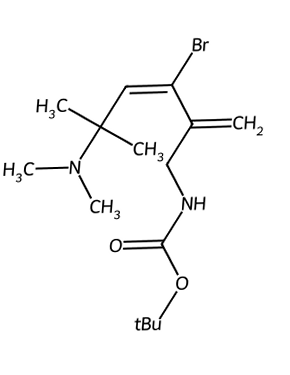 C=C(CNC(=O)OC(C)(C)C)/C(Br)=C\C(C)(C)N(C)C